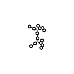 c1ccc(-c2ccc(N(c3ccc(-c4ccc(N(c5ccc(-c6ccccc6)cc5)c5cc6c7ccccc7ccc6c6ccccc56)cc4)cc3)c3cc4c5ccccc5ccc4c4ccccc34)cc2)cc1